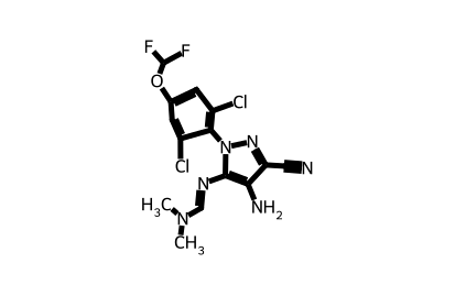 CN(C)C=Nc1c(N)c(C#N)nn1-c1c(Cl)cc(OC(F)F)cc1Cl